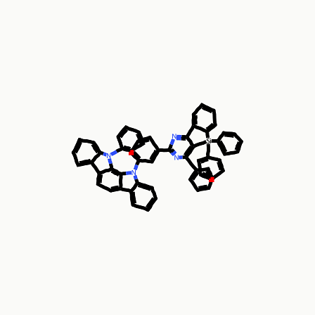 c1ccc(-c2nc(-c3cccc(-n4c5ccccc5c5ccc6c7ccccc7n(-c7ccccc7)c6c54)c3)nc3c2[Si](c2ccccc2)(c2ccccc2)c2ccccc2-3)cc1